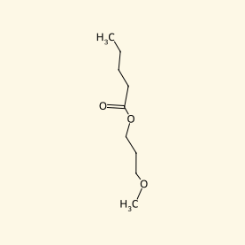 CCCCC(=O)OCCCOC